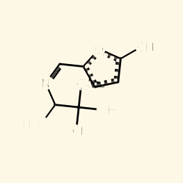 COC(C)(O)C(C)/N=C\c1ccc(C)o1